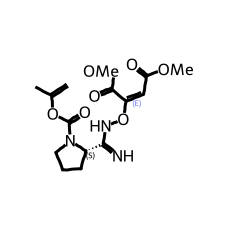 C=C(C)OC(=O)N1CCC[C@H]1C(=N)NO/C(=C/C(=O)OC)C(=O)OC